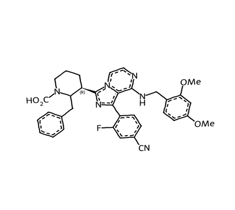 COc1ccc(CNc2nccn3c([C@@H]4CCCN(C(=O)O)C4Cc4ccccc4)nc(-c4ccc(C#N)cc4F)c23)c(OC)c1